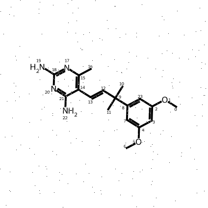 COc1cc(OC)cc(C(C)(C)C=Cc2c(C)nc(N)nc2N)c1